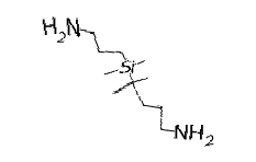 CC(C)(CCCN)[Si](C)(C)CCCN